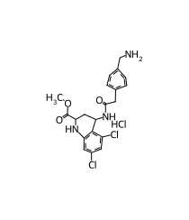 COC(=O)C1CC(NC(=O)Cc2ccc(CN)cc2)c2c(Cl)cc(Cl)cc2N1.Cl